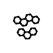 c1ccc2c(c1)ccc1c3ccccc3ccc21.c1ccc2c(c1)ccc1ccccc12